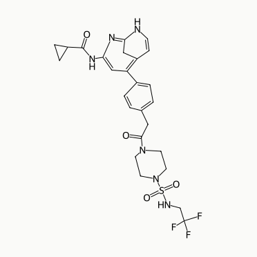 O=C(NC1=CC(c2ccc(CC(=O)N3CCN(S(=O)(=O)NCC(F)(F)F)CC3)cc2)=C2C=CNC(=N1)C2)C1CC1